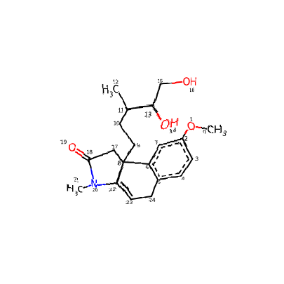 COc1ccc2c(c1)C1(CCC(C)C(O)CO)CC(=O)N(C)C1=CC2